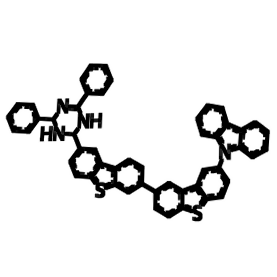 c1ccc(C2=NC(c3ccccc3)NC(c3ccc4sc5cc(-c6ccc7sc8ccc(-n9c%10ccccc%10c%10ccccc%109)cc8c7c6)ccc5c4c3)N2)cc1